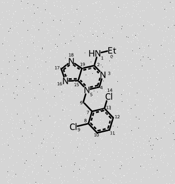 CCNc1ncn(Cc2c(Cl)cccc2Cl)c2ncnc1-2